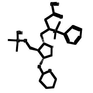 COC(=O)CC(C[C@@H]1[C]C[C@H](OC2CCCCO2)[C@H]1CO[Si](C)(C)C(C)(C)C)[Si](C)(C)c1ccccc1